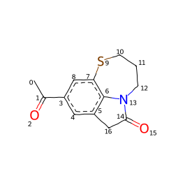 CC(=O)c1cc2c3c(c1)SCCCN3C(=O)C2